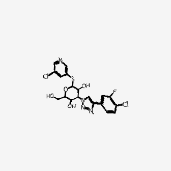 OCC1OC(Sc2cncc(Cl)c2)[C@@H](O)C(n2cc(-c3ccc(Cl)c(F)c3)nn2)C1O